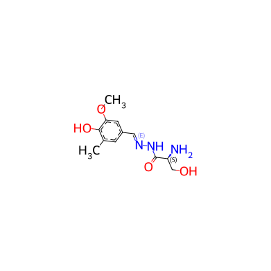 COc1cc(/C=N/NC(=O)[C@@H](N)CO)cc(C)c1O